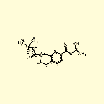 CC(C)OC(=O)c1ccc2c(c1)CN(C(=O)OC(C)(C)C)CC2